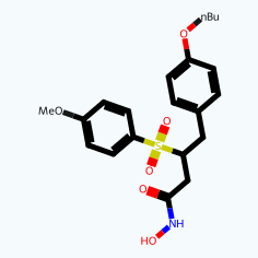 CCCCOc1ccc(CC(CC(=O)NO)S(=O)(=O)c2ccc(OC)cc2)cc1